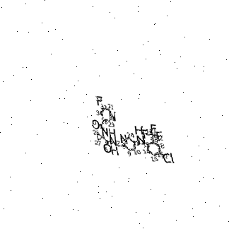 O=C(NC1(C(=O)NCc2ccc(Nc3ccc(Cl)cc3C(F)(F)F)cn2)CC1)c1cncc(F)c1